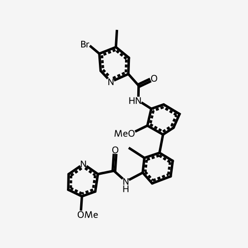 COc1ccnc(C(=O)Nc2cccc(-c3cccc(NC(=O)c4cc(C)c(Br)cn4)c3OC)c2C)c1